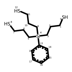 SCCC[Si](CCCS)(CCCS)c1ccccc1